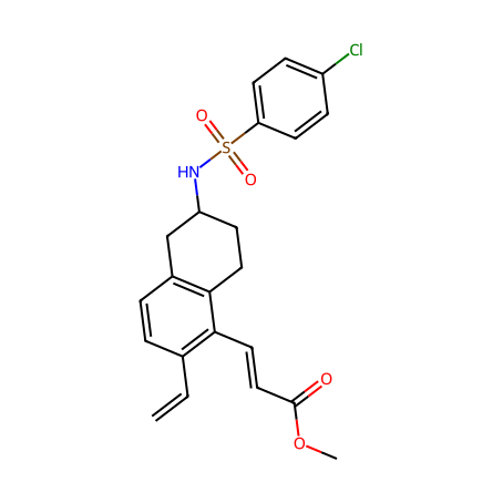 C=Cc1ccc2c(c1C=CC(=O)OC)CCC(NS(=O)(=O)c1ccc(Cl)cc1)C2